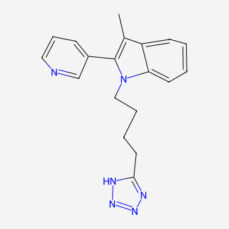 Cc1c(-c2cccnc2)n(CCCCc2nnn[nH]2)c2ccccc12